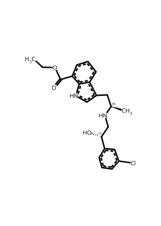 CCOC(=O)c1cccc2c(C[C@@H](C)NC[C@@H](O)c3cccc(Cl)c3)c[nH]c12